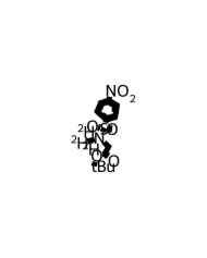 [2H]C([2H])([2H])N(CC(=O)OC(C)(C)C)S(=O)(=O)c1ccc([N+](=O)[O-])cc1